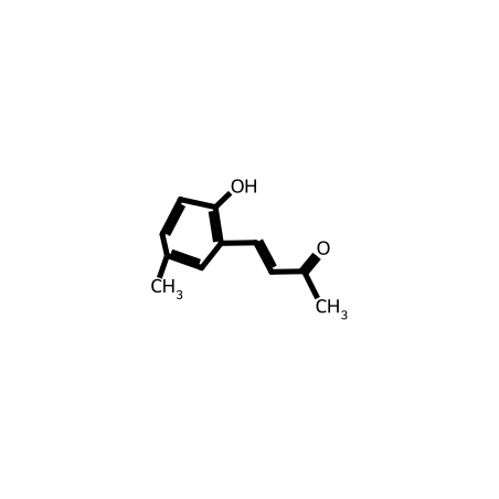 CC(=O)C=Cc1cc(C)ccc1O